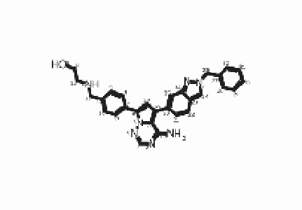 Nc1ncnn2c(-c3ccc(CNCCO)cc3)cc(-c3ccc4cn(Cc5ccccc5)nc4c3)c12